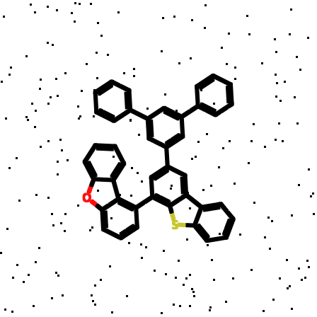 c1ccc(-c2cc(-c3ccccc3)cc(-c3cc(-c4cccc5oc6ccccc6c45)c4sc5ccccc5c4c3)c2)cc1